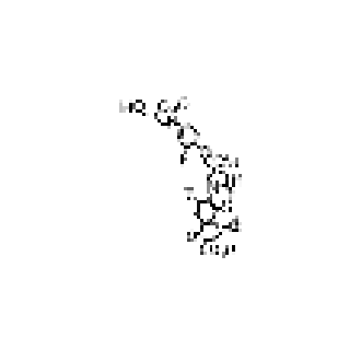 O=C(O)c1cn(C2CC2)c2c3c(c(F)cc2c1=O)N1C[C@](O)(COc2ccc(N4C[C@H](CO)OC4=O)cc2F)C[C@H]1CO3